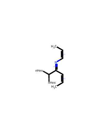 C\C=C/N=C(\C=C/C)C(CCCCCC)CCCCCC